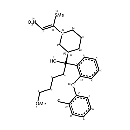 COCCCCC(O)(c1ccccc1Oc1ccccc1C)[C@@H]1CCCN(C(=C[N+](=O)[O-])SC)C1